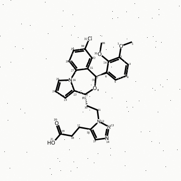 COc1cccc([C@H]2O[C@H](CCn3nncc3CCC(=O)O)c3cccn3-c3ccc(Cl)cc32)c1OC